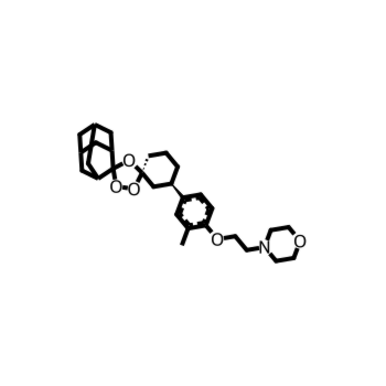 Cc1cc([C@@H]2CCC[C@]3(C2)OOC2(O3)C3CC4CC(C3)CC2C4)ccc1OCCN1CCOCC1